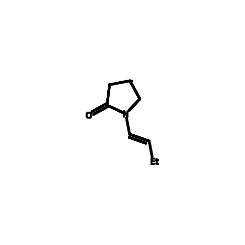 CCC=CN1C[CH]CC1=O